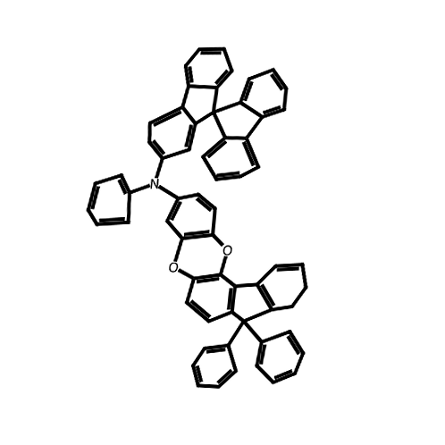 C1=CC2=C(CC1)C(c1ccccc1)(c1ccccc1)c1ccc3c(c12)Oc1ccc(N(c2ccccc2)c2ccc4c(c2)C2(c5ccccc5-c5ccccc52)c2ccccc2-4)cc1O3